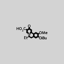 CC[C@@H]1Cc2cc(OCC(C)C)c(OC)cc2-c2cc(=O)c(C(=O)O)cn21